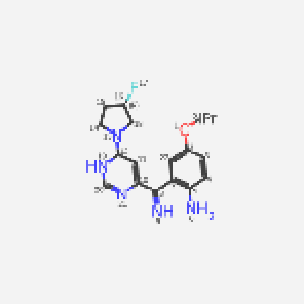 CC(C)Oc1ccc(N)c(C(=N)C2=CC(N3CC[C@@H](F)C3)NC=N2)c1